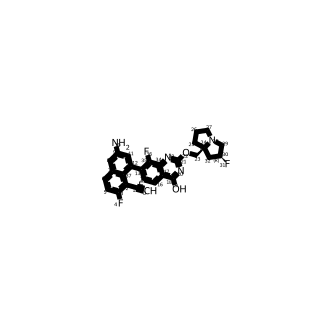 C#Cc1c(F)ccc2cc(N)cc(-c3c(F)cc4c(O)nc(OC[C@@]56CCCN5C[C@H](F)C6)nc4c3F)c12